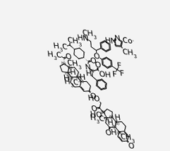 CC(=O)[C@H]1CC[C@H]2[C@@H]3CCC4=CC(=O)CC[C@]4(C)[C@H]3CC[C@]12C.CC(C)[C@H]1CC[C@H](C(=O)N[C@H](Cc2ccccc2)C(=O)O)CC1.CNCCC(Oc1ccc(C(F)(F)F)cc1)c1ccccc1.C[C@]12C=CC(=O)C=C1CC[C@@H]1[C@@H]2C(=O)C[C@@]2(C)[C@H]1CC[C@]2(O)C(=O)CO.Cc1cn[nH]c1.[Co]